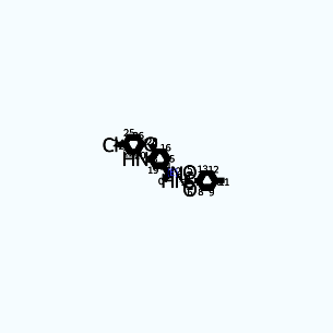 C/C(=N\NS(=O)(=O)c1ccc(C)cc1)c1ccc2c(c1)Nc1cc(Cl)ccc1O2